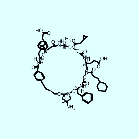 C[C@H]1CN(C(=O)CC2CC2)CC(=O)N[C@@H](CCC(=O)O)CN(C(=O)CCC2CCCCC2)CC(=O)N[C@@H](Cc2ccccc2)CN(CC(N)=O)C(=O)CCSCc2ccc(cc2)C(=O)N[C@@H](Cc2ccccc2)CN(C(=O)CCC(=O)O)CC(=O)N1